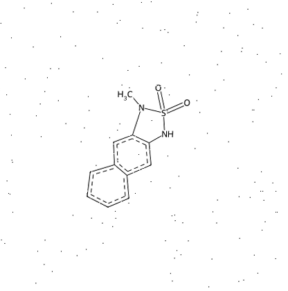 CN1c2cc3ccccc3cc2NS1(=O)=O